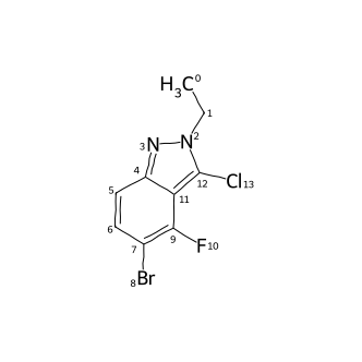 CCn1nc2ccc(Br)c(F)c2c1Cl